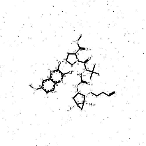 C=CCCC[C@@H]1[C@H]2C[C@H]2C[C@H]1OC(=O)N[C@H](C(=O)N1C[C@H](Oc2nc3cc(OC)ccc3nc2Cl)C[C@H]1C(=O)OC)C(C)(C)C